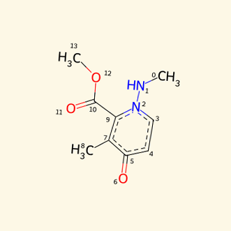 CNn1ccc(=O)c(C)c1C(=O)OC